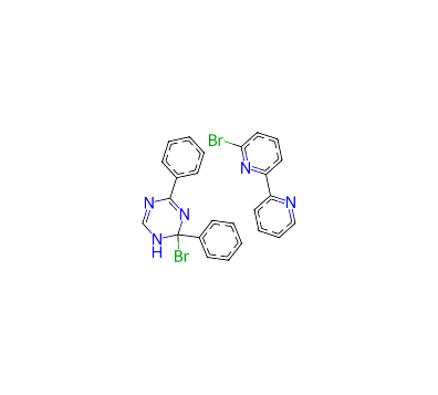 BrC1(c2ccccc2)N=C(c2ccccc2)N=CN1.Brc1cccc(-c2ccccn2)n1